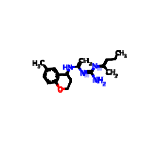 C=C(/N=C(N)\N=C(/C)CCC)NC1CCOc2ccc(C)cc21